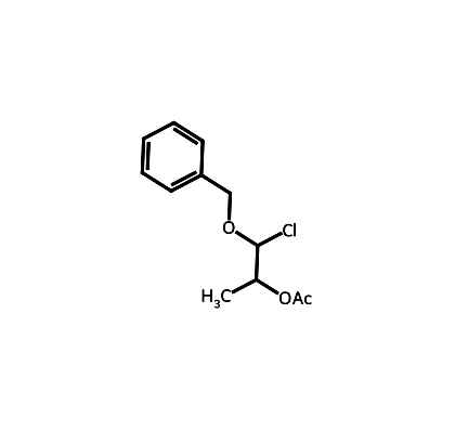 CC(=O)OC(C)C(Cl)OCc1ccccc1